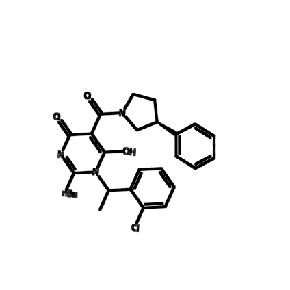 CCCCc1nc(=O)c(C(=O)N2CC[C@@H](c3ccccc3)C2)c(O)n1C(C)c1ccccc1Cl